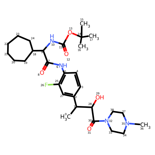 CC(c1ccc(NC(=O)C(NC(=O)OC(C)(C)C)C2CCCCCC2)c(F)c1)C(O)C(=O)N1CCN(C)CC1